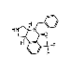 O=C1c2c(cccc2C(F)(F)F)[C@H]2CNC[C@@H]2N1Cc1ccccc1